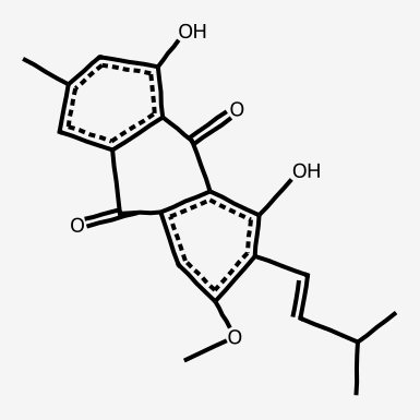 COc1cc2c(c(O)c1C=CC(C)C)C(=O)c1c(O)cc(C)cc1C2=O